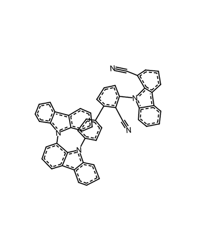 N#Cc1c(-c2ccc(-n3c4ccccc4c4cccc(-n5c6ccccc6c6ccccc65)c43)cc2)cccc1-n1c2ccccc2c2cccc(C#N)c21